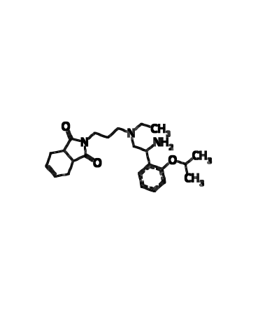 CCN(CCCN1C(=O)C2CC=CCC2C1=O)CC(N)c1ccccc1OC(C)C